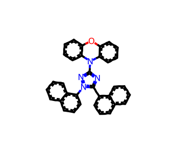 c1ccc2c(c1)Oc1ccccc1N2c1nc(-c2cccc3ccccc23)n(-c2cccc3ccccc23)n1